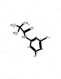 CC(C)(C)C(=O)Nc1cc(F)cc(F)c1